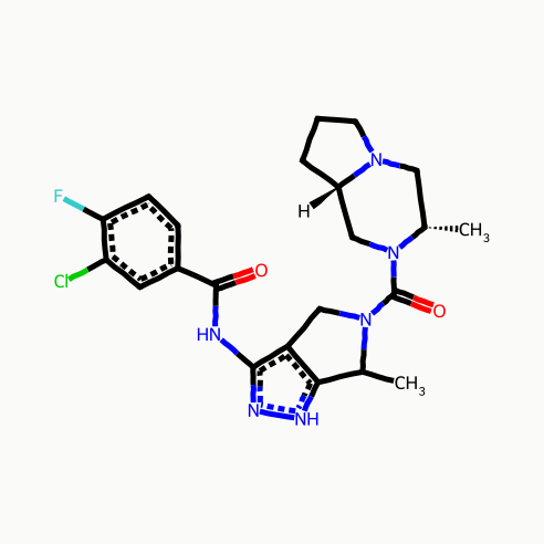 CC1c2[nH]nc(NC(=O)c3ccc(F)c(Cl)c3)c2CN1C(=O)N1C[C@@H]2CCCN2C[C@@H]1C